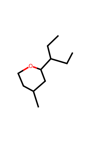 CCC(CC)C1CC(C)CCO1